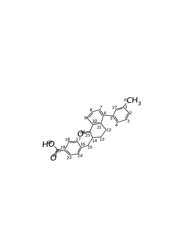 Cc1cccc(-c2cccc3c2CCC(Cc2ccc(C(=O)O)cc2)C3=O)c1